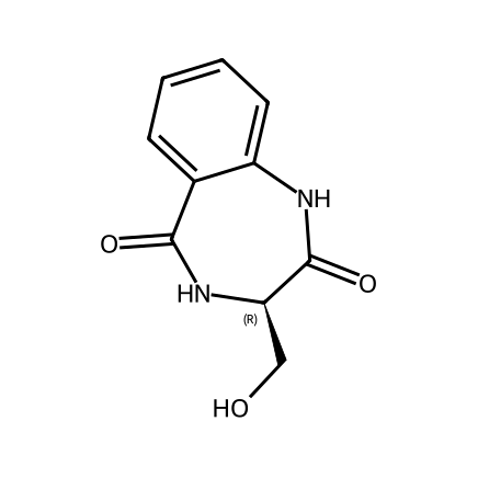 O=C1N[C@H](CO)C(=O)Nc2ccccc21